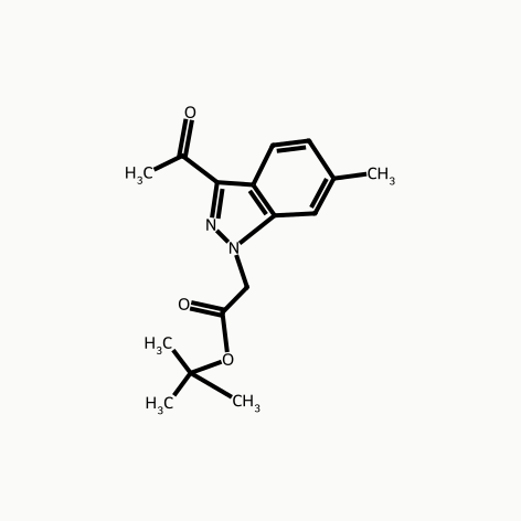 CC(=O)c1nn(CC(=O)OC(C)(C)C)c2cc(C)ccc12